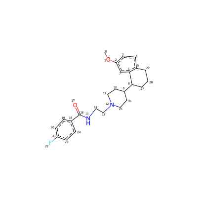 COc1ccc2c(c1)C(C1CCN(CCNC(=O)c3ccc(F)cc3)CC1)CCC2